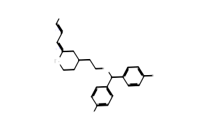 CCOC(=O)/C=C/C=C1\CC(CCOC(c2ccc(F)cc2)c2ccc(F)cc2)CCN1